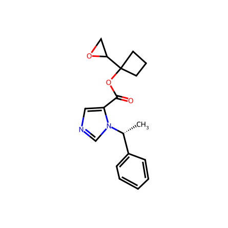 C[C@H](c1ccccc1)n1cncc1C(=O)OC1(C2CO2)CCC1